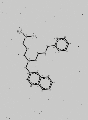 CN(C)CCCN(CCSCc1ccccc1)Cc1ccc2ccccc2c1